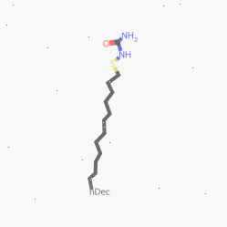 CCCCCCCCCCCCCCCCCCCCCCSNC(N)=O